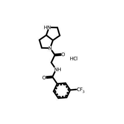 Cl.O=C(NCC(=O)N1CCC2NCCC21)c1cccc(C(F)(F)F)c1